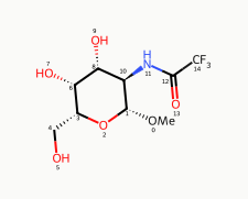 CO[C@@H]1O[C@H](CO)[C@H](O)[C@H](O)[C@H]1NC(=O)C(F)(F)F